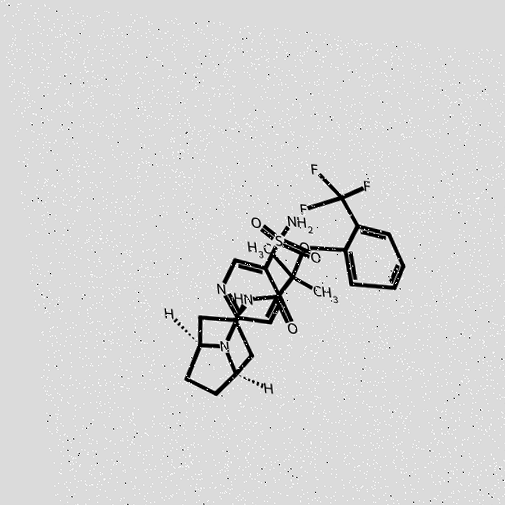 CC(C)(Oc1ccccc1C(F)(F)F)C(=O)N[C@H]1C[C@H]2CC[C@@H](C1)N2c1ccc(S(N)(=O)=O)cn1